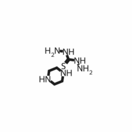 C1CNCCN1.NNC(=S)NN